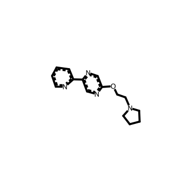 c1ccc(-c2cnc(OCCN3CCCC3)cn2)nc1